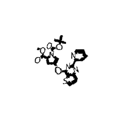 COC(=O)C1CC(Oc2nc(-c3ccccn3)nc3ccsc23)CN1C(=O)OC(C)(C)C